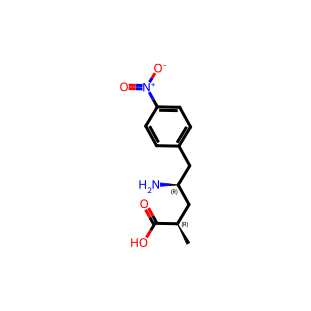 C[C@H](C[C@@H](N)Cc1ccc([N+](=O)[O-])cc1)C(=O)O